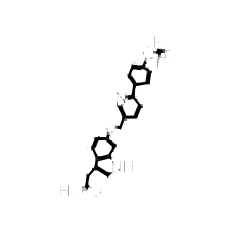 O=C(O)Cc1c[nH]c2cc(OCc3ccc(-c4ccc(OC(F)(F)F)cc4)nc3)ccc12